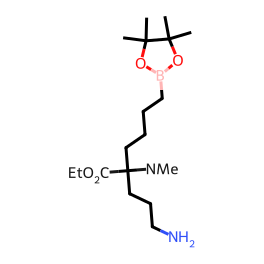 CCOC(=O)C(CCCN)(CCCCB1OC(C)(C)C(C)(C)O1)NC